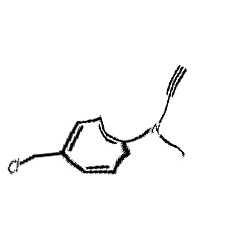 C#CN(C)c1ccc(Cl)cc1